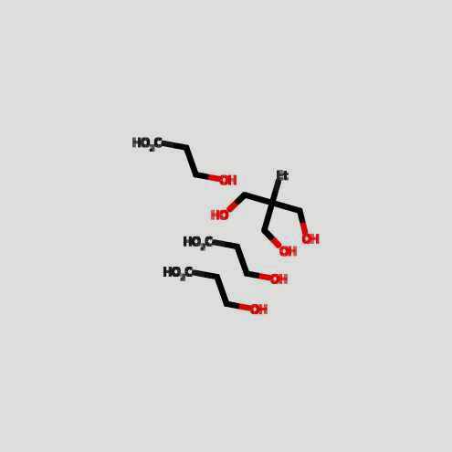 CCC(CO)(CO)CO.O=C(O)CCO.O=C(O)CCO.O=C(O)CCO